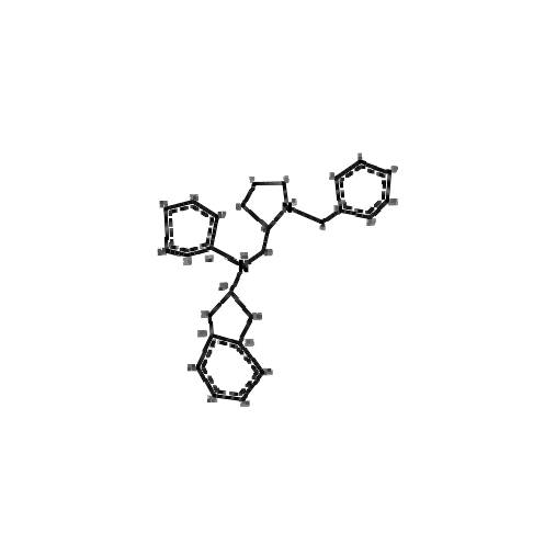 c1ccc(CN2CCCC2CN(c2ccccc2)C2Cc3ccccc3C2)cc1